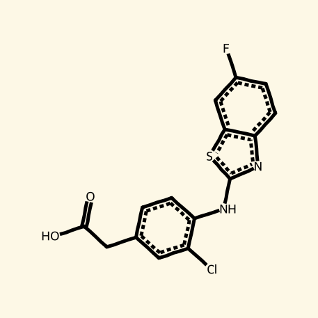 O=C(O)Cc1ccc(Nc2nc3ccc(F)cc3s2)c(Cl)c1